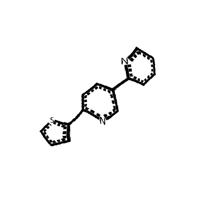 c1ccc(-c2ccc(-c3cccs3)nc2)nc1